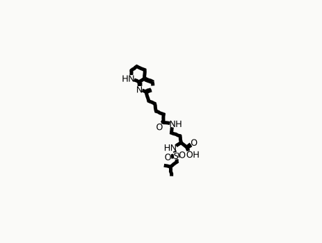 C=C(CCCCC(=O)NCCC(NS(=O)(=O)CC(C)C)C(=O)O)/N=C1/NCCC/C1=C/C